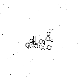 CC(C)COc1cc(F)cc(-c2ccc(C(=O)NS(=O)(=O)c3ccccn3)c(OC(C)(C)Cc3ccccc3)n2)c1